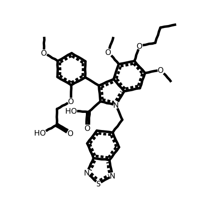 CCCOc1c(OC)cc2c(c1OC)c(-c1ccc(OC)cc1OCC(=O)O)c(C(=O)O)n2Cc1ccc2nsnc2c1